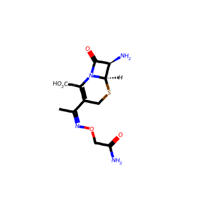 C/C(=N/OCC(N)=O)C1=C(C(=O)O)N2C(=O)[C@@H](N)[C@H]2SC1